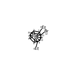 CC[C]12[CH]3[CH]4[C]5(CC)[CH]1[Fe]34251678[CH]2[CH]1[CH]6[C]7(Br)[CH]28